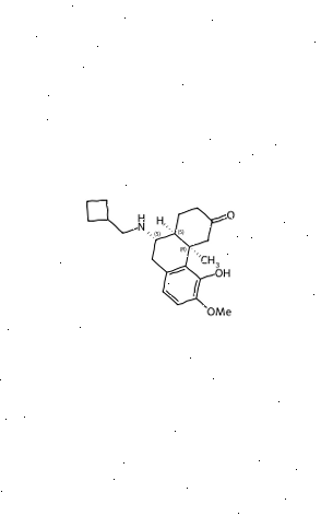 COc1ccc2c(c1O)[C@]1(C)CC(=O)CC[C@@H]1[C@@H](NCC1CCC1)C2